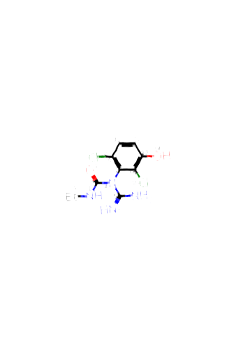 CCNC(=O)N(C(=N)N)c1c(Cl)ccc(O)c1Cl